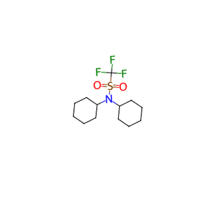 O=S(=O)(N(C1CCCCC1)C1CCCCC1)C(F)(F)F